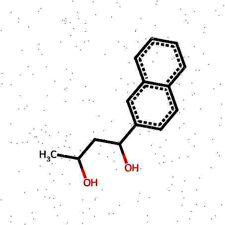 CC(O)CC(O)c1ccc2ccccc2c1